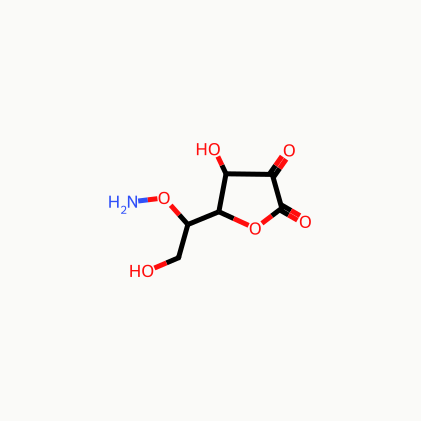 NOC(CO)C1OC(=O)C(=O)C1O